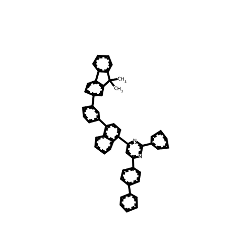 CC1(C)c2ccccc2-c2ccc(-c3cccc(-c4ccc(-c5cc(-c6ccc(-c7ccccc7)cc6)nc(-c6ccccc6)n5)c5ccccc45)c3)cc21